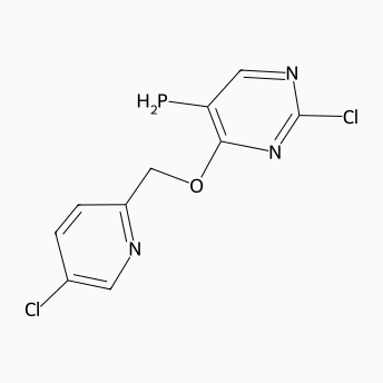 Pc1cnc(Cl)nc1OCc1ccc(Cl)cn1